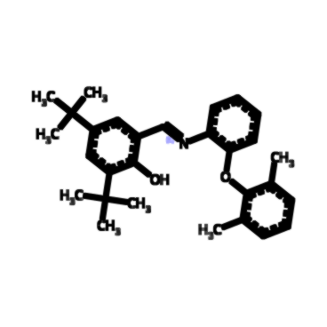 Cc1cccc(C)c1Oc1ccccc1/N=C/c1cc(C(C)(C)C)cc(C(C)(C)C)c1O